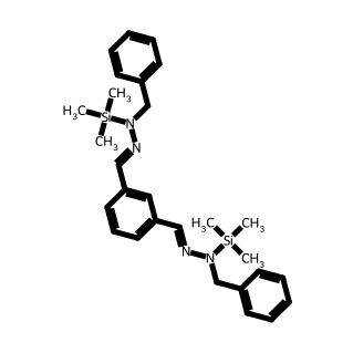 C[Si](C)(C)N(Cc1ccccc1)/N=C/c1cccc(/C=N/N(Cc2ccccc2)[Si](C)(C)C)c1